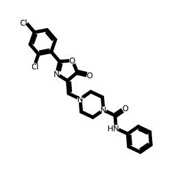 O=C1OC(c2ccc(Cl)cc2Cl)=N/C1=C/N1CCN(C(=O)Nc2ccccc2)CC1